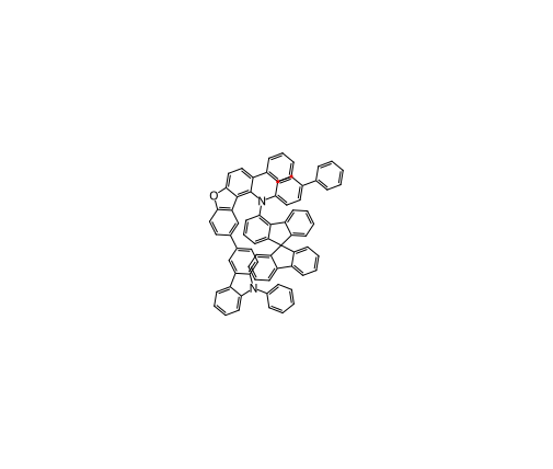 c1ccc(-c2ccc(N(c3cccc4c3-c3ccccc3C43c4ccccc4-c4ccccc43)c3c(-c4ccccc4)ccc4oc5ccc(-c6ccc7c(c6)c6ccccc6n7-c6ccccc6)cc5c34)cc2)cc1